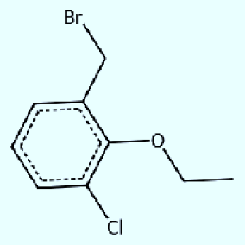 CCOc1c(Cl)cccc1CBr